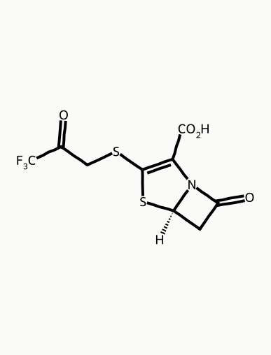 O=C(O)C1=C(SCC(=O)C(F)(F)F)S[C@@H]2CC(=O)N12